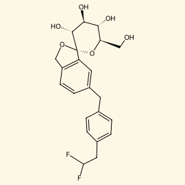 OC[C@H]1O[C@]2(OCc3ccc(Cc4ccc(CC(F)F)cc4)cc32)[C@H](O)[C@@H](O)[C@@H]1O